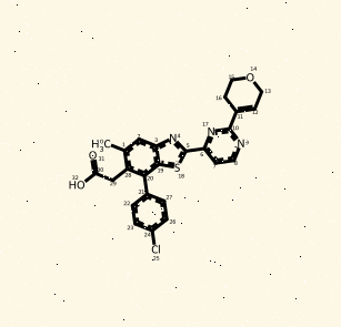 Cc1cc2nc(-c3ccnc(C4=CCOCC4)n3)sc2c(-c2ccc(Cl)cc2)c1CC(=O)O